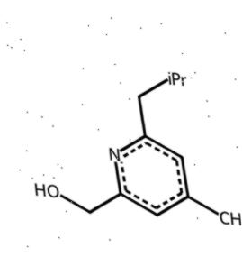 Cc1cc(CO)nc(CC(C)C)c1